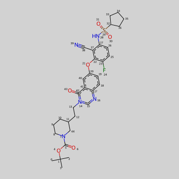 CC(C)(C)OC(=O)N1CCCC(CCn2cnc3ccc(Oc4c(F)ccc(NS(=O)(=O)C5CCCC5)c4C#N)cc3c2=O)C1